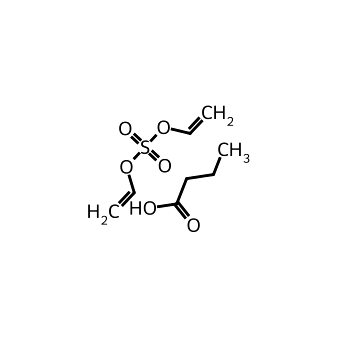 C=COS(=O)(=O)OC=C.CCCC(=O)O